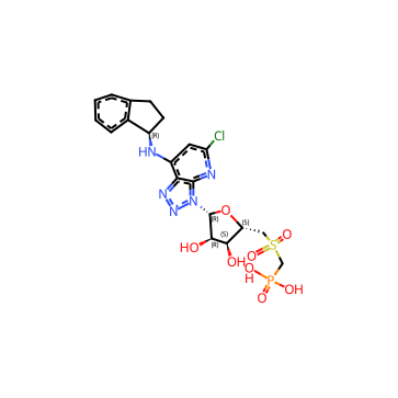 O=P(O)(O)CS(=O)(=O)C[C@H]1O[C@@H](n2nnc3c(N[C@@H]4CCc5ccccc54)cc(Cl)nc32)[C@H](O)[C@@H]1O